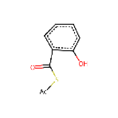 CC(=O)SC(=O)c1ccccc1O